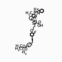 Cc1c(Nc2nc3ccccc3s2)nnc2c1CCCN2c1nc(C(=O)O)c(CCCOc2ccc(C#CCN3CCN(C(=O)OC(C)(C)C)CC3)cc2F)s1